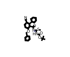 CS/C(=N\C(=O)c1c(OCc2ccccc2)ccc(C#N)c1-c1ccccc1)NC(=O)OC(C)(C)C